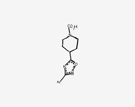 CC(=O)c1noc(C2CCN(C(=O)O)CC2)n1